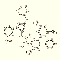 COc1cccc(-c2nn(Cc3ccccc3)cc2Cn2nc3c(-c4cc(C)nc(C)c4)c(-c4ccccc4)nc(N)n3c2=O)c1